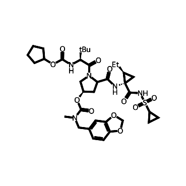 CC[C@H]1C[C@@]1(NC(=O)C1C[C@@H](OC(=O)N(C)Cc2ccc3c(c2)OCO3)CN1C(=O)[C@@H](NC(=O)OC1CCCC1)C(C)(C)C)C(=O)NS(=O)(=O)C1CC1